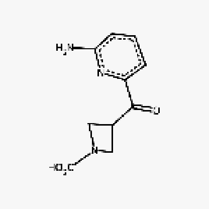 Nc1cccc(C(=O)C2CN(C(=O)O)C2)n1